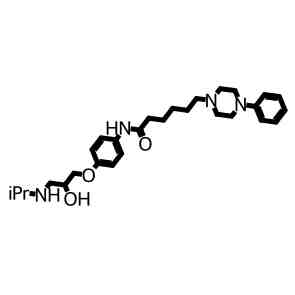 CC(C)NCC(O)COc1ccc(NC(=O)CCCCCN2CCN(c3ccccc3)CC2)cc1